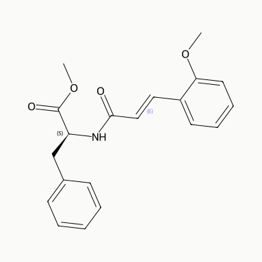 COC(=O)[C@H](Cc1ccccc1)NC(=O)/C=C/c1ccccc1OC